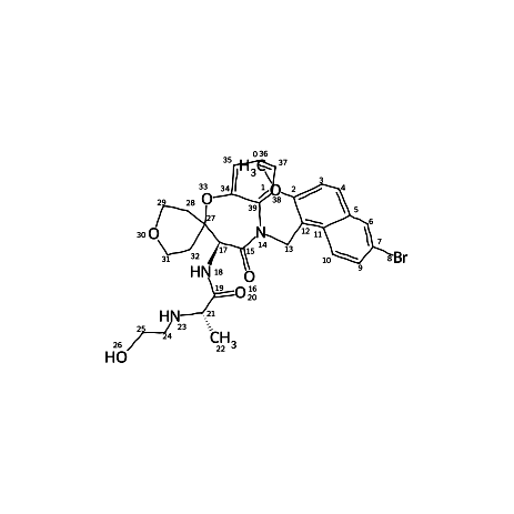 COc1ccc2cc(Br)ccc2c1CN1C(=O)[C@@H](NC(=O)[C@H](C)NCCO)C2(CCOCC2)Oc2ccccc21